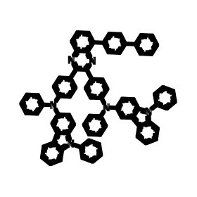 c1ccc(-c2ccc(-c3cccc4nc(-c5ccc(N(c6ccccc6)c6ccc7c(c6)c6ccccc6n7-c6ccccc6)cc5)c(-c5ccc(N(c6ccccc6)c6ccc7c(c6)c6ccccc6n7-c6ccccc6)cc5)nc34)cc2)cc1